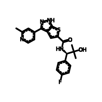 Cc1cc(-c2n[nH]c3sc(C(=O)N[C@H](c4ccc(F)cc4)C(C)(C)O)cc23)ccn1